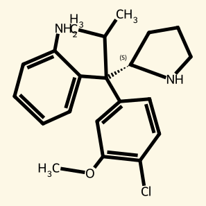 COc1cc(C(c2ccccc2N)(C(C)C)[C@@H]2CCCN2)ccc1Cl